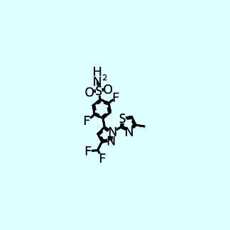 Cc1csc(-n2nc(C(F)F)cc2-c2cc(F)c(S(N)(=O)=O)cc2F)n1